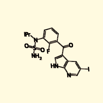 CC(C)N(c1cccc(C(=O)c2c[nH]c3ncc(I)cc23)c1F)S(N)(=O)=O